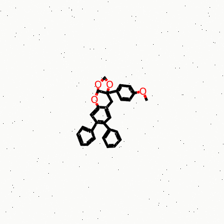 COc1ccc(C23Cc4cc(-c5ccccc5)c(-c5ccccc5)cc4OC2OCO3)cc1